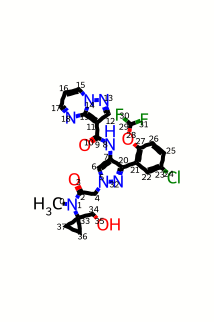 CN(C(=O)Cn1cc(NC(=O)c2cnn3cccnc23)c(-c2cc(Cl)ccc2OC(F)F)n1)C1(CO)CC1